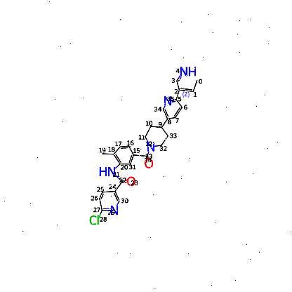 C/C=C(\C=N)c1ccc(C2CCN(C(=O)c3ccc(C)c(NC(=O)c4ccc(Cl)nc4)c3)CC2)cn1